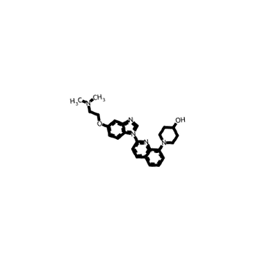 CN(C)CCOc1ccc2c(c1)ncn2-c1ccc2cccc(N3CCC(O)CC3)c2n1